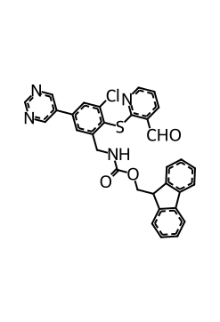 O=Cc1cccnc1Sc1c(Cl)cc(-c2cncnc2)cc1CNC(=O)OCC1c2ccccc2-c2ccccc21